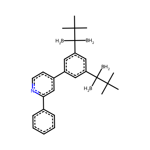 BC(B)(c1cc(-c2ccnc(-c3ccccc3)c2)cc(C(B)(B)C(C)(C)C)c1)C(C)(C)C